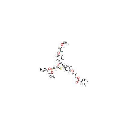 C=C(C)C(=O)OCCCOc1ccc(C(CC(=O)c2ccc(OCCCOC)cc2)SCCCP(OCC)OCC)cc1